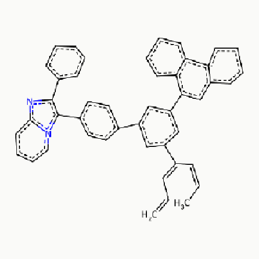 C=C/C=C(\C=C/C)c1cc(-c2ccc(-c3c(-c4ccccc4)nc4ccccn34)cc2)cc(-c2cc3ccccc3c3ccccc23)c1